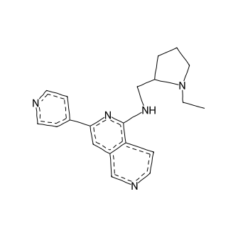 CCN1CCCC1CNc1nc(-c2ccncc2)cc2cnccc12